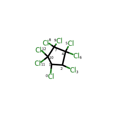 ClC1C(Cl)C(Cl)(Cl)C(Cl)(Cl)C1(Cl)Cl